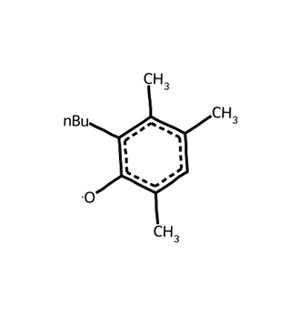 CCCCc1c(C)c(C)cc(C)c1[O]